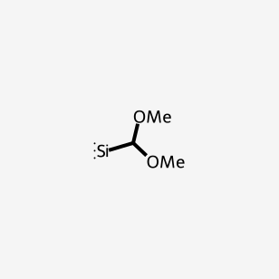 COC([Si])OC